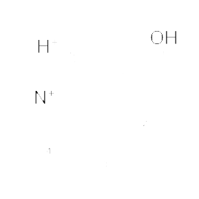 OC1C=CC=[N+]=C1.[H+]